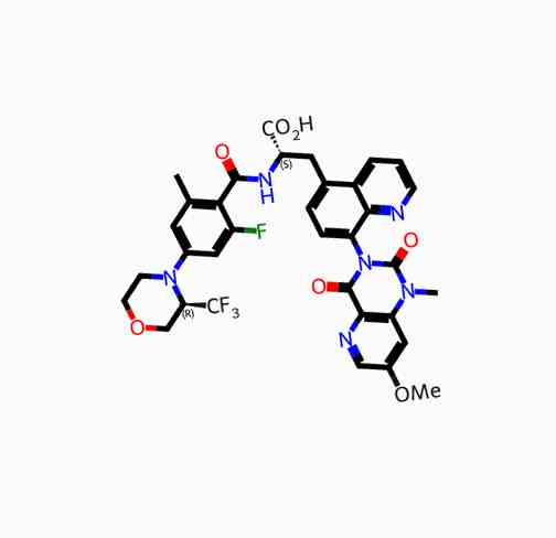 COc1cnc2c(=O)n(-c3ccc(C[C@H](NC(=O)c4c(C)cc(N5CCOC[C@@H]5C(F)(F)F)cc4F)C(=O)O)c4cccnc34)c(=O)n(C)c2c1